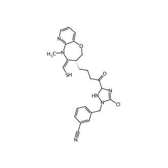 CN1/C(=C/S)[C@@H](CCCC(=O)C2N=C(Cl)N(Cc3cccc(C#N)c3)N2)COc2cccnc21